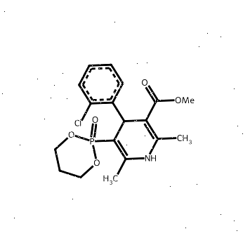 COC(=O)C1=C(C)NC(C)=C(P2(=O)OCCCO2)C1c1ccccc1Cl